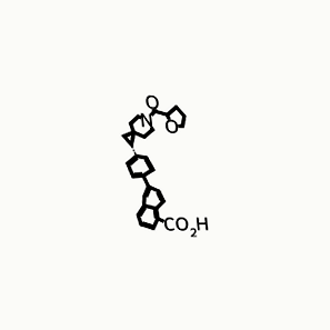 O=C(O)c1cccc2cc(-c3ccc([C@@H]4CC45CCN(C(=O)C4CCCO4)CC5)cc3)ccc12